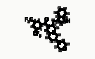 O=C(c1cc(C(F)(F)F)cc(C(F)(F)F)c1)N1CC2CCC(N3CCOCC3)CN2CC1Cc1c[nH]c2ccccc12